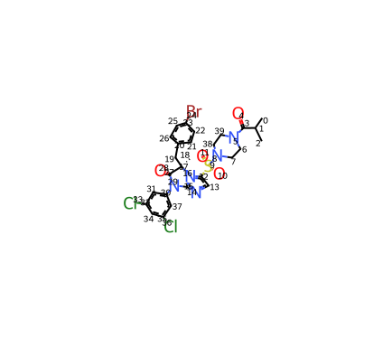 CC(C)C(=O)N1CCN(S(=O)(=O)c2cnc3n2[C@](C)(Cc2ccc(Br)cc2)C(=O)N3c2cc(Cl)cc(Cl)c2)CC1